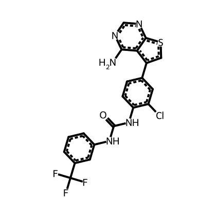 Nc1ncnc2scc(-c3ccc(NC(=O)Nc4cccc(C(F)(F)F)c4)c(Cl)c3)c12